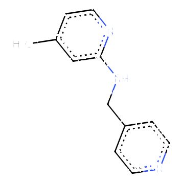 Cc1ccnc(NCc2ccncc2)c1